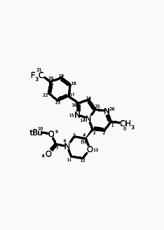 Cc1cc([C@@H]2CN(C(=O)OC(C)(C)C)CCO2)n2nc(-c3ccc(C(F)(F)F)cc3)cc2n1